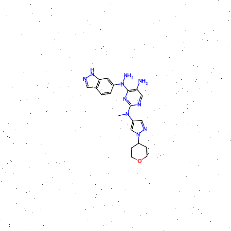 CN(c1cnn(C2CCOCC2)c1)c1ncc(N)c(N(N)c2ccc3cn[nH]c3c2)n1